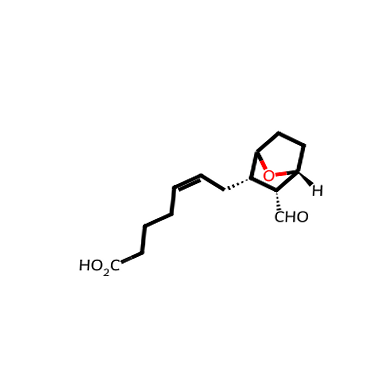 O=C[C@@H]1[C@H](C/C=C\CCCC(=O)O)C2CC[C@H]1O2